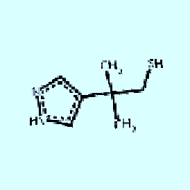 CC(C)(CS)c1cn[nH]c1